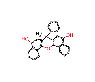 CC1(c2ccccc2)c2cc(O)c3ccccc3c2Oc2c1cc(O)c1ccccc21